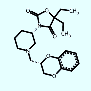 CCC1(CC)OC(=O)N([C@H]2CCCN(C[C@H]3COc4ccccc4O3)C2)C1=O